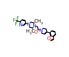 C[C@@H]1CN(c2ccc(C(F)(F)F)nc2)C[C@H](C)N1CC(=O)N1CC=C(c2cccc3ccoc23)CC1